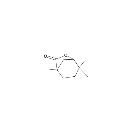 CC12CCC(C)(C)C(C1)OC2=O